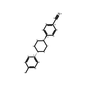 Cc1ccc([C@H]2CC[C@H](c3ccc(C#N)cc3)CC2)cc1